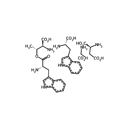 C[C@@H](OC(=O)[C@@H](N)Cc1c[nH]c2ccccc12)[C@H](N)C(=O)O.NCC(=O)O.N[C@@H](CC(=O)O)C(=O)O.N[C@@H](Cc1c[nH]c2ccccc12)C(=O)O